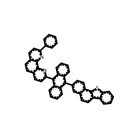 c1ccc(-c2ccc3ccc4ccc(-c5c6ccccc6c(-c6ccc7c(ccc8c9ccccc9sc78)c6)c6ccccc56)nc4c3n2)cc1